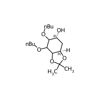 CCCCOC1C(OCCCC)[C@H](O)C[C@H]2OC(C)(C)OC12